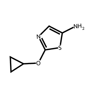 Nc1cnc(OC2CC2)s1